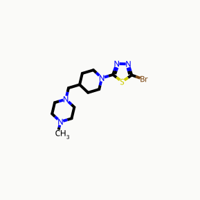 CN1CCN(CC2CCN(c3nnc(Br)s3)CC2)CC1